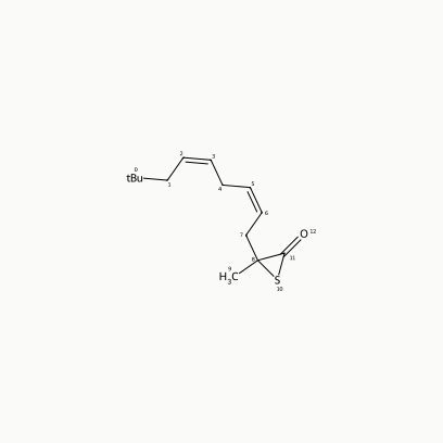 CC(C)(C)C/C=C\C/C=C\CC1(C)SC1=O